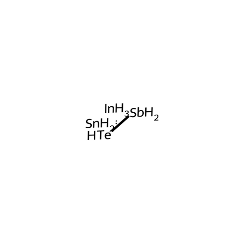 [InH3].[SbH2][TeH].[SnH2]